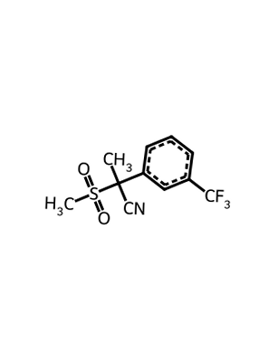 CC(C#N)(c1cccc(C(F)(F)F)c1)S(C)(=O)=O